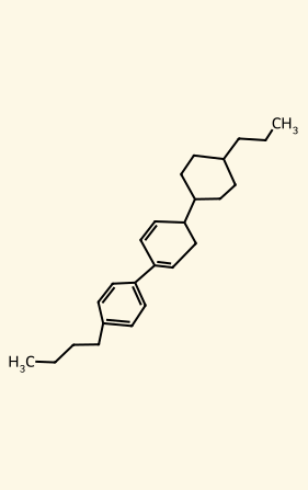 CCCCc1ccc(C2=CCC(C3CCC(CCC)CC3)C=C2)cc1